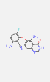 N#Cc1c(N)ccc(F)c1Oc1ccc2nc[nH]c(=O)c2c1N